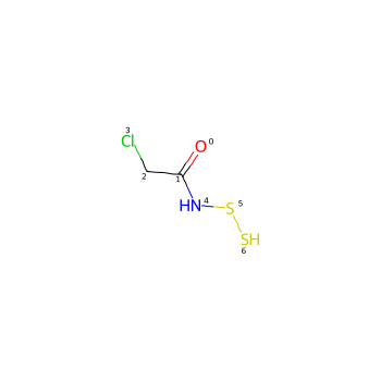 O=C(CCl)NSS